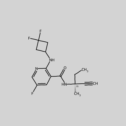 C#C[C@](C)(CC)NC(=O)c1cc(F)cnc1NC1CC(F)(F)C1